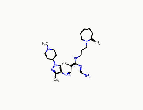 C=C1CCCCCN1CCCNC(/N=C/N)=C(/C=N\c1cn(C2CCN(C)CC2)nc1C)C(F)(F)F